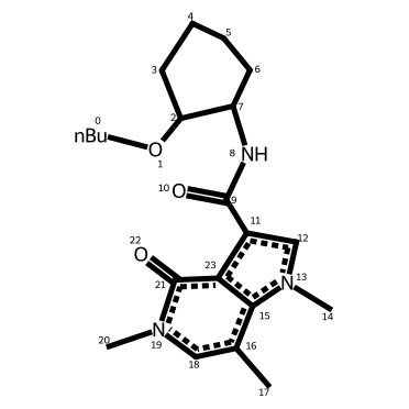 CCCCOC1CCCCC1NC(=O)c1cn(C)c2c(C)cn(C)c(=O)c12